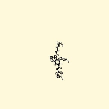 CCCCCCOc1c(OC)cc(/C=C/C(=O)OC)cc1OC